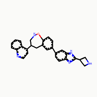 c1ccc2c(C3CNOc4ccc(-c5ccc6nc(C7CNC7)[nH]c6c5)cc4C3)ccnc2c1